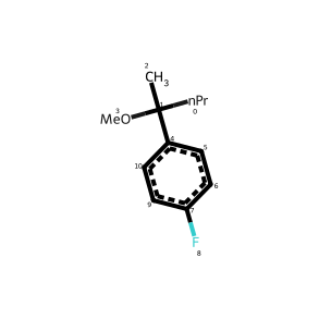 CCCC(C)(OC)c1ccc(F)cc1